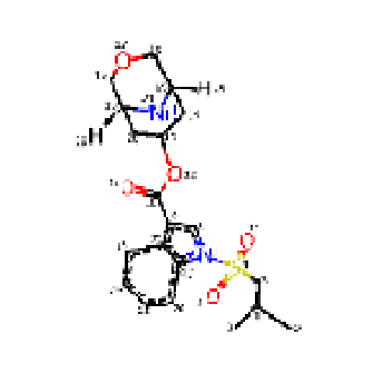 CC(C)CS(=O)(=O)n1cc(C(=O)OC2C[C@H]3COC[C@@H](C2)N3)c2ccccc21